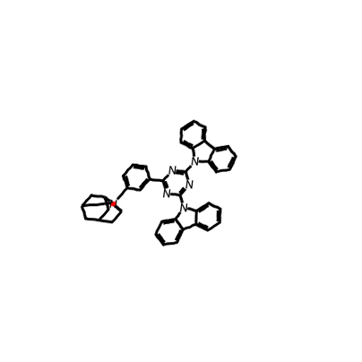 c1cc(-c2nc(-n3c4ccccc4c4ccccc43)nc(-n3c4ccccc4c4ccccc43)n2)cc(N2C3CC4CC(C3)CC2C4)c1